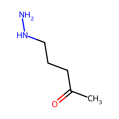 CC(=O)CCCNN